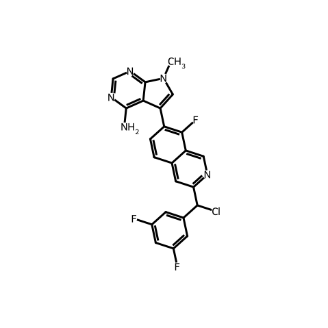 Cn1cc(-c2ccc3cc(C(Cl)c4cc(F)cc(F)c4)ncc3c2F)c2c(N)ncnc21